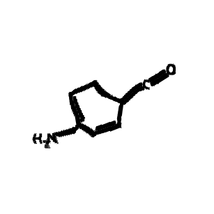 NC1=CCC(=C=O)C=C1